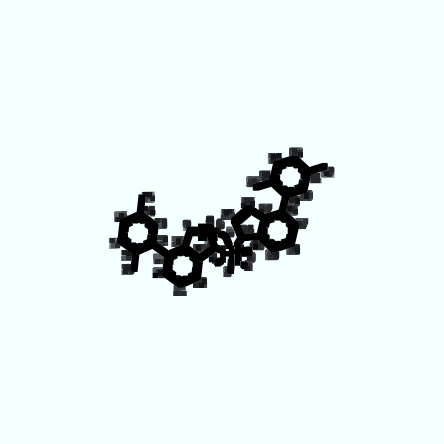 [CH2]=[Hf]([CH3])([CH3])([CH3])([CH2]C(C)C)([CH]1C=Cc2c(-c3cc(C)ccc3C)cccc21)[CH]1C=Cc2c(-c3cc(C)ccc3C)cccc21